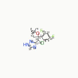 CC(O[Si](C)(C)C)(c1ccc(F)cc1F)C(Cl)c1nc[nH]n1